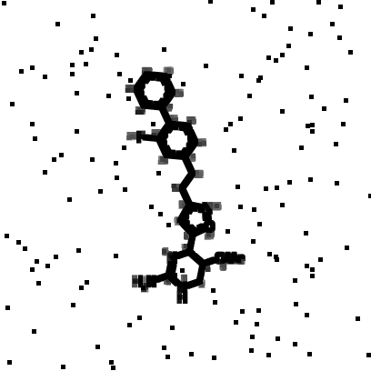 COC1CNC(N)=NC1c1cc(CCc2ccc(-c3ccccc3)c(F)c2)no1